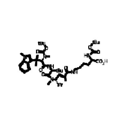 C/C(=C\[C@H](C(C)C)N(C)C(=O)C(NC(=O)[C@@H](N(C)C(=O)OC(C)(C)C)C(C)(C)c1cn(C)c2ccccc12)C(C)(C)C)C(=O)NCCCCC(NC(=O)OC(C)(C)C)C(=O)O